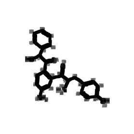 Nc1ccc(C(=O)C(O)c2ccccc2)c(C(=O)C(N)Cc2ccc(O)cc2)c1